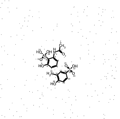 CC(=O)Nc1cccc(O)c1[As](=O)(O)O.Nc1cc(S(=O)(=O)O)ccc1O